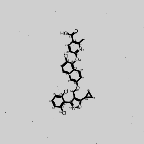 Cc1nc(Oc2c(Cl)ccc3cc(OCc4c(-c5c(Cl)cccc5Cl)noc4C4CC4)ccc23)ccc1C(=O)O